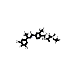 CC(NC(=O)c1ccc(/C(F)=C/C(c2cc(Cl)c(F)c(Cl)c2)C(F)(F)F)cc1C(F)(F)F)C(=O)N(C)CC(F)(F)F